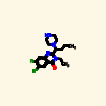 CCCC(c1nc2cc(F)c(Br)cc2c(=O)n1CC)N1CCNCC1